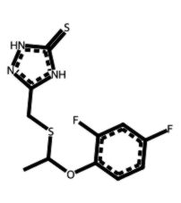 CC(Oc1ccc(F)cc1F)SCc1n[nH]c(=S)[nH]1